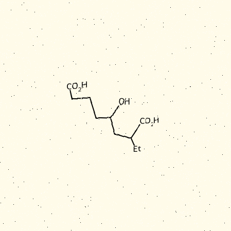 CCC(CC(O)CCCC(=O)O)C(=O)O